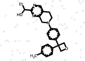 CCC(O)c1ncc2c(n1)CN(c1ccc(C3(c4ccc(C)cc4)COC3)cc1)CC2